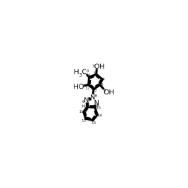 Cc1c(O)cc(O)c(-n2nc3ccccc3n2)c1O